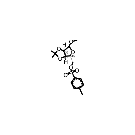 COC1O[C@H](COS(=O)(=O)c2ccc(C)cc2)[C@H]2OC(C)(C)O[C@@H]12